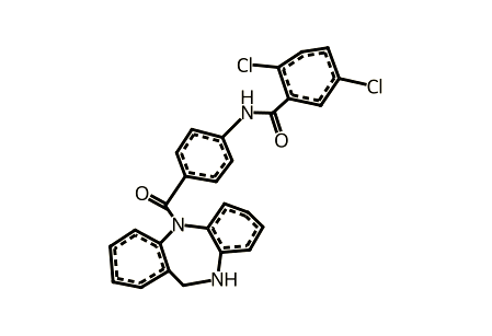 O=C(Nc1ccc(C(=O)N2c3ccccc3CNc3ccccc32)cc1)c1cc(Cl)ccc1Cl